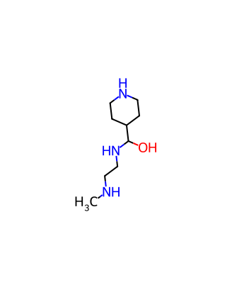 CNCCNC(O)C1CCNCC1